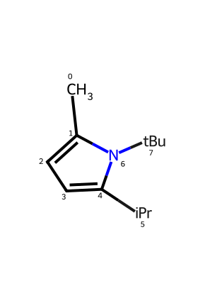 Cc1ccc(C(C)C)n1C(C)(C)C